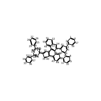 c1ccc(-c2cc(-c3ccccc3)cc(-c3cc(-c4cc(-c5nc(-c6ccccc6)nc(-c6ccccc6)n5)ccc4-c4ccccc4)c4ccccc4c3)c2)cc1